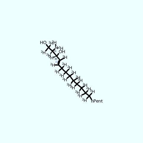 [2H]/C(=C(/[2H])[C@@]([2H])(O)[C@@]([2H])(N([2H])[2H])C([2H])([2H])O)C([2H])([2H])C([2H])([2H])C([2H])([2H])C([2H])([2H])C([2H])([2H])C([2H])([2H])C([2H])([2H])C([2H])([2H])CCCCC